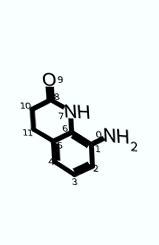 Nc1cccc2c1NC(=O)CC2